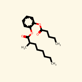 CCCCCCC(C)C(=O)Oc1ccccc1OC(=O)CCCC